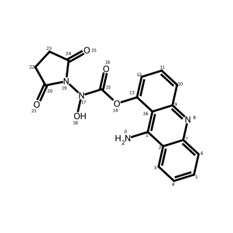 Nc1c2ccccc2nc2cccc(OC(=O)N(O)N3C(=O)CCC3=O)c12